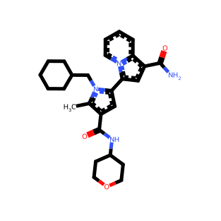 Cc1c(C(=O)NC2CCOCC2)cc(-c2cc(C(N)=O)c3ccccn23)n1CC1CCCCC1